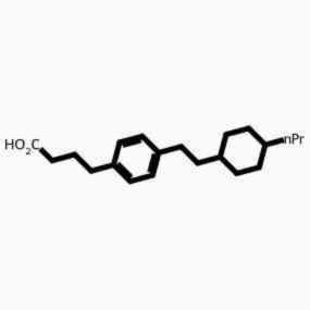 CCCC1CCC(CCc2ccc(CCCC(=O)O)cc2)CC1